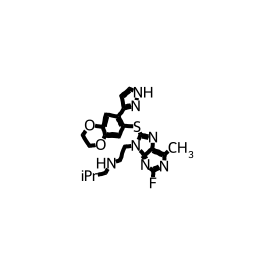 Cc1nc(F)nc2c1nc(Sc1cc3c(cc1-c1cc[nH]n1)OCCO3)n2CCNCC(C)C